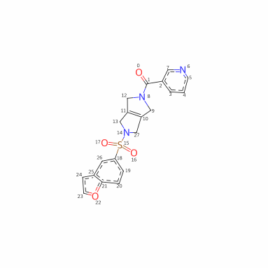 O=C(c1cccnc1)N1CC2=C(C1)CN(S(=O)(=O)c1ccc3occc3c1)C2